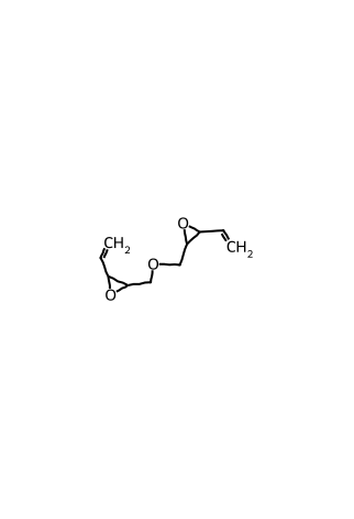 C=CC1OC1COCC1OC1C=C